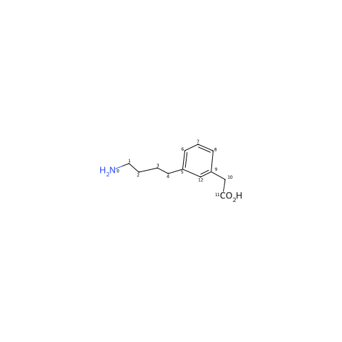 NCCCCc1cccc(CC(=O)O)c1